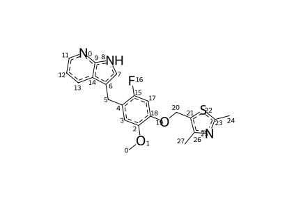 COc1cc(Cc2c[nH]c3ncccc23)c(F)cc1OCc1sc(C)nc1C